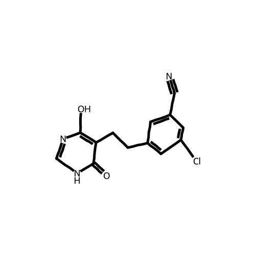 N#Cc1cc(Cl)cc(CCc2c(O)nc[nH]c2=O)c1